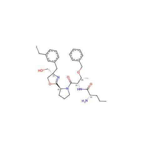 CCC[C@H](N)C(=O)N[C@H](C(=O)N1CCC[C@H]1C1=N[C@](CO)(Cc2cccc(CI)c2)CO1)[C@@H](C)OCc1ccccc1